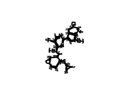 Fc1cnc(-c2c[nH]c3ncc(Cl)cc23)nc1NCC1COCCN1SC1CC1